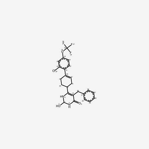 O=C1NC(O)NC(C2CC=C(c3ccc(OC(F)(F)F)cc3Cl)CC2)=C1Cc1ccccc1